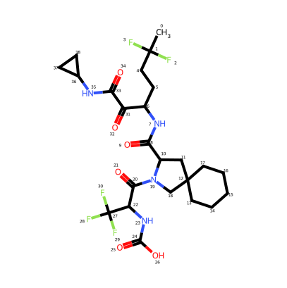 CC(F)(F)CCC(NC(=O)C1CC2(CCCCC2)CN1C(=O)C(NC(=O)O)C(F)(F)F)C(=O)C(=O)NC1CC1